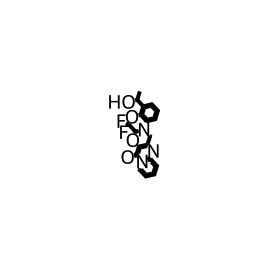 CC(O)c1cccc2c1OC(F)(F)C(=O)N2Cc1cc(=O)n2ccccc2n1